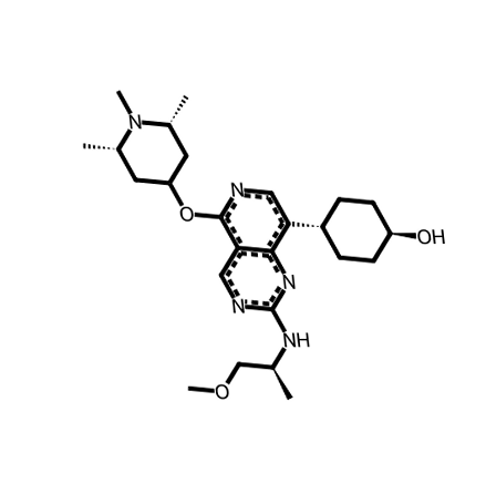 COC[C@H](C)Nc1ncc2c(OC3C[C@@H](C)N(C)[C@@H](C)C3)ncc([C@H]3CC[C@H](O)CC3)c2n1